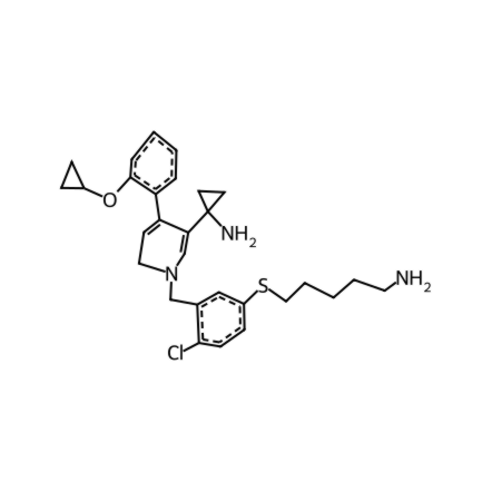 NCCCCCSc1ccc(Cl)c(CN2C=C(C3(N)CC3)C(c3ccccc3OC3CC3)=CC2)c1